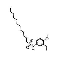 CCCCCCCCCCCCS(=O)(=O)Nc1ccc(OC)c(CC)c1